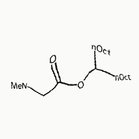 CCCCCCCCC(CCCCCCCC)OC(=O)CNC